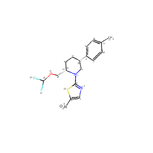 O=[N+]([O-])c1cnc(N2C[C@@H](c3ccc(C(F)(F)F)cc3)CC[C@H]2COC(F)F)s1